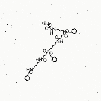 CC(C)(C)OC(=O)NCCCCCN(OCc1ccccc1)C(=O)CCC(=O)NCCCCCN(OCc1ccccc1)C(=O)CCC(=O)NCCCCCNOCc1ccccc1